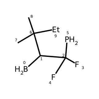 BC(C(F)(F)P)C(C)(C)CC